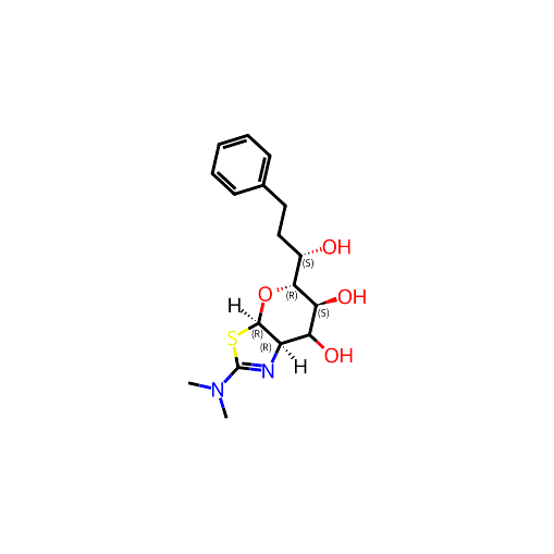 CN(C)C1=N[C@@H]2C(O)[C@H](O)[C@@H]([C@@H](O)CCc3ccccc3)O[C@@H]2S1